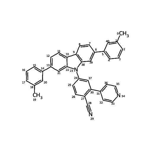 Cc1cccc(-c2ccc3c4ccc(-c5cccc(C)c5)cc4n(-c4ccc(C#N)c(-c5ccncc5)c4)c3c2)c1